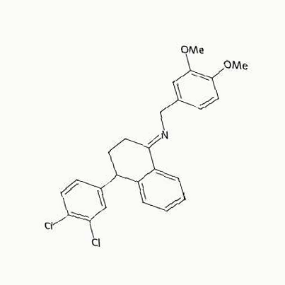 COc1ccc(C/N=C2\CCC(c3ccc(Cl)c(Cl)c3)c3ccccc32)cc1OC